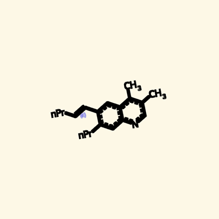 CCC/C=C/c1cc2c(C)c(C)cnc2cc1CCC